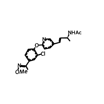 CO/N=C(\C)c1ccc(Oc2ccc(/C=C/[C@H](C)NC(C)=O)cn2)c(Cl)c1